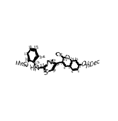 CCCCCCCCCCOc1ccc2cc(-c3csc(Nc4ccccc4OC)n3)c(=O)oc2c1